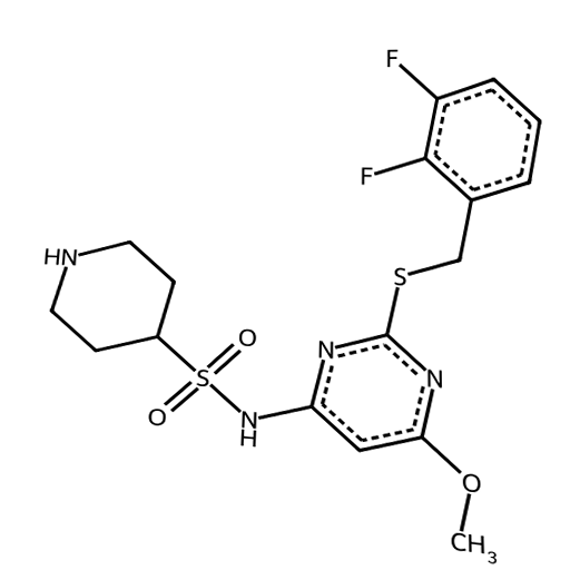 COc1cc(NS(=O)(=O)C2CCNCC2)nc(SCc2cccc(F)c2F)n1